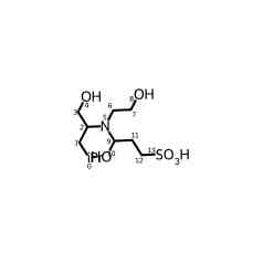 CC(C)CC(CO)N(CCO)C(O)CCS(=O)(=O)O